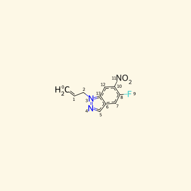 C=CCn1ncc2cc(F)c([N+](=O)[O-])cc21